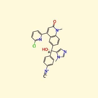 [C-]#[N+]c1ccc([C@@](O)(c2ccc3c(c2)c(-c2cccc(Cl)n2)cc(=O)n3C)c2cncn2C)cc1